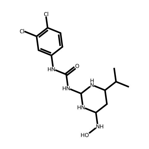 CC(C)C1CC(NO)NC(NC(=O)Nc2ccc(Cl)c(Cl)c2)N1